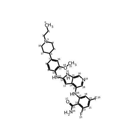 CCCN1CCC(c2ccc(Nc3cc4c(Nc5cc(F)cc(F)c5C(N)=O)cncc4[nH]3)c(OC)c2)CC1